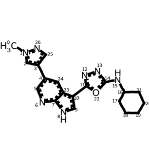 Cn1cc(-c2cnc3[nH]cc(-c4nnc(NC5CCCCC5)o4)c3c2)cn1